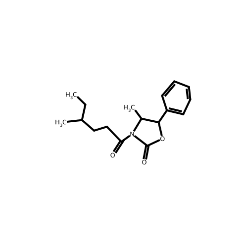 CCC(C)CCC(=O)N1C(=O)OC(c2ccccc2)C1C